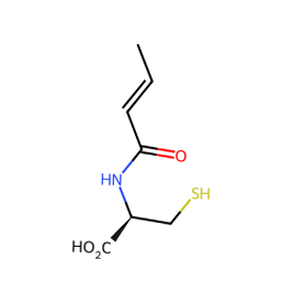 CC=CC(=O)N[C@@H](CS)C(=O)O